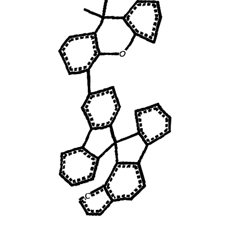 CC1(C)c2ccccc2Oc2c(-c3ccc4c(c3)-c3ccccc3C43c4ccccc4-c4ccc5ccccc5c43)cccc21